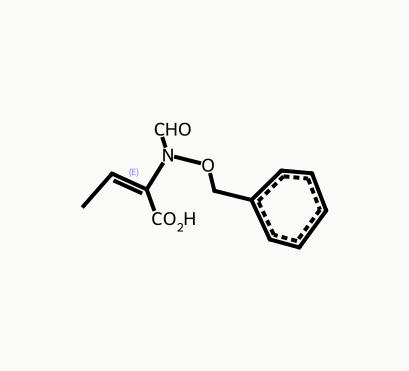 C/C=C(\C(=O)O)N(C=O)OCc1ccccc1